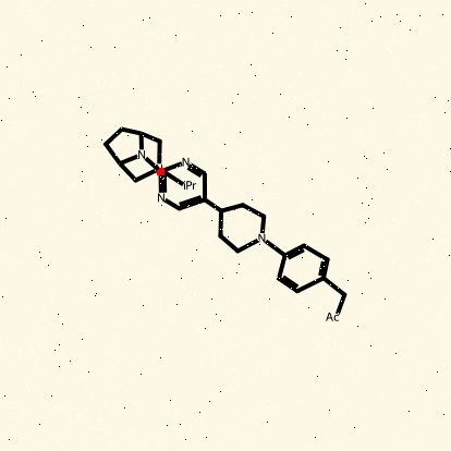 CC(=O)Cc1ccc(N2CCC(c3cnc(N4C5CCC4CN(C(C)C)C5)nc3)CC2)cc1